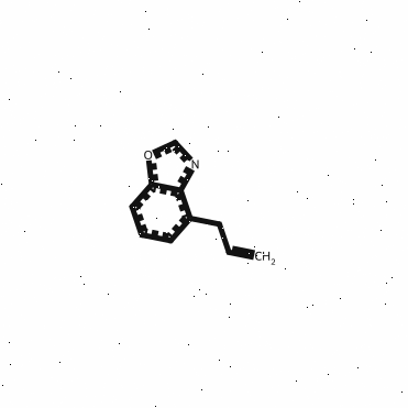 C=CCc1cccc2ocnc12